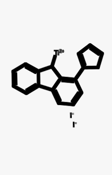 [I-].[I-].[Ti+2][CH]1c2ccccc2-c2cccc(C3=CC=CC3)c21